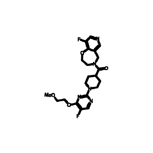 COCCOc1nc(N2CCC(C(=O)N3CCOc4c(F)cncc4C3)CC2)ncc1F